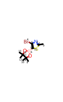 Cc1nc(Br)c(B2OC(C)(C)C(C)(C)O2)s1